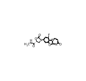 CNC(=O)[C@H]1CN(c2cc(F)c3c(c2)oc2nc(=O)ccn23)C(=O)O1